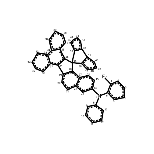 Fc1ccccc1N(c1ccccc1)c1ccc2c3c(ccc2c1)-c1c(c2ccccc2c2ccccc12)C31c2ccccc2-c2ccccc21